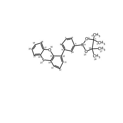 CC1(C)OB(c2cccc(-c3cccc4c3Oc3ccccc3S4)c2)OC1(C)C